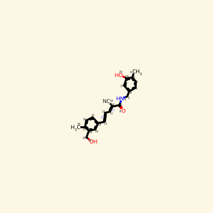 Cc1ccc(CNC(=O)/C(C#N)=C/C=C/c2ccc(C)c(CO)c2)cc1O